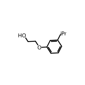 CC(C)c1cccc(OCCO)c1